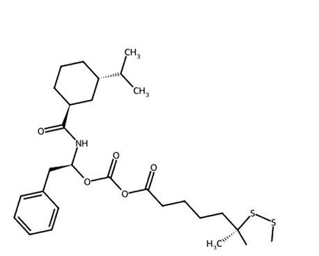 CC(C)[C@H]1CCC[C@H](C(=O)N[C@H](Cc2ccccc2)OC(=O)OC(=O)CCCC[C@]2(C)CCSS2)C1